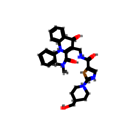 CN(C)C(=O)c1c(CNC(=O)c2cnc(N3CCC(CO)CC3)s2)c(=O)c2ccccc2n1-c1ccccc1